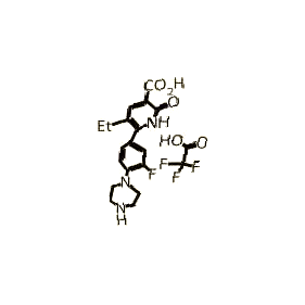 CCc1cc(C(=O)O)c(=O)[nH]c1-c1ccc(N2CCNCC2)c(F)c1.O=C(O)C(F)(F)F